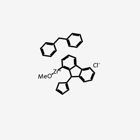 C[O][Zr+][c]1cccc2c1C(C1=CC=CC1)c1ccccc1-2.[Cl-].c1ccc(Cc2ccccc2)cc1